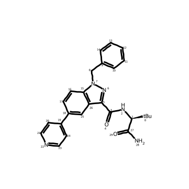 CC(C)(C)[C@H](NC(=O)c1nn(Cc2ccccc2)c2ccc(-c3ccncc3)cc12)C(N)=O